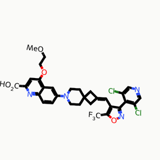 COCCOc1cc(C(=O)O)nc2ccc(N3CCC4(CC3)CC(=Cc3c(-c5c(Cl)cncc5Cl)noc3C(F)(F)F)C4)cc12